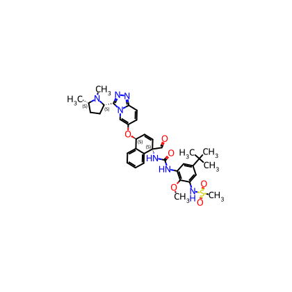 COc1c(NC(=O)N[C@@]2(C=O)C=C[C@H](Oc3ccc4nnc([C@@H]5CC[C@H](C)N5C)n4c3)c3ccccc32)cc(C(C)(C)C)cc1NS(C)(=O)=O